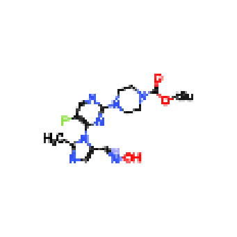 Cc1ncc(/C=N/O)n1-c1nc(N2CCN(C(=O)OC(C)(C)C)CC2)ncc1F